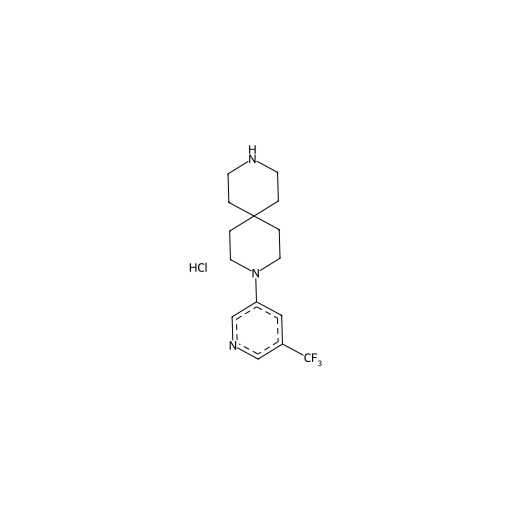 Cl.FC(F)(F)c1cncc(N2CCC3(CCNCC3)CC2)c1